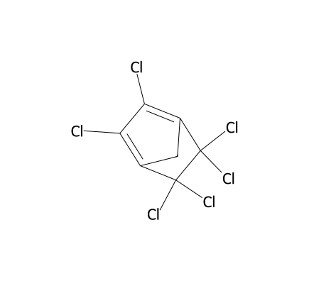 ClC1=C2CC(=C1Cl)C(Cl)(Cl)C2(Cl)Cl